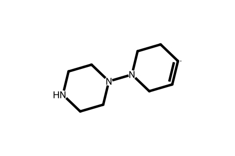 [C]1=CCN(N2CCNCC2)CC1